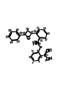 OB(O)c1ccccc1CNc1ccccc1C1CC(c2ccccc2)O1